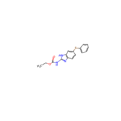 CCOC(=O)Nc1nc2ccc(Sc3ccccc3)cc2[nH]1